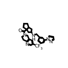 O=C(N1CCc2ncc(C(F)(F)F)cc2C1)C12CCCC1CC(NCc1cccc(-n3cccn3)c1)C2